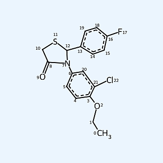 CCOc1ccc(N2C(=O)CSC2c2ccc(F)cc2)cc1Cl